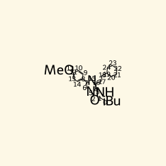 CCC(C)C(=O)Nc1ncc(-c2ccc(OC)cc2)nc1CCC1CCCCC1